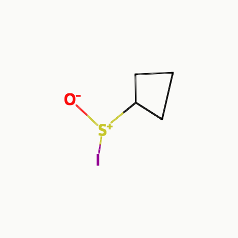 [O-][S+](I)C1CCC1